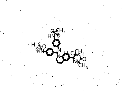 CN1N=C(c2ccc3c(c2)CCCN3C(=Nc2ccc(NS(C)(=O)=O)cc2)c2ccc(NS(C)(=O)=O)cc2)C(C)(C)SC1=O